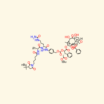 CCCCC(C)(C)C1CC(=O)N(CCCCCC(=O)N[C@H](C(=O)N[C@@H](CCCNC(N)=O)C(=O)Nc2ccc(COC(=O)O[C@@H](C(=O)O[C@H]3C[C@@]4(O)[C@@H](OC(=O)c5ccccc5)[C@@H]5[C@]6(OC(C)=O)CO[C@@H]6C[C@H](O)[C@@]5(C)C(=O)[C@H](O)C(=C3C)C4(C)C)[C@@H](CC(=O)OC(C)(C)C)c3ccccc3)cc2)C(C)C)C1=O